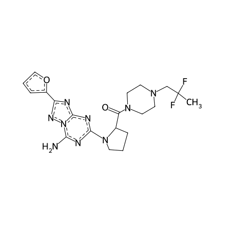 CC(F)(F)CN1CCN(C(=O)C2CCCN2c2nc(N)n3nc(-c4ccco4)nc3n2)CC1